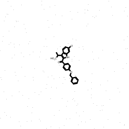 CC(C(=O)O)c1c(C(=O)c2ccc(OCc3ccccc3)cc2)[nH]c2cc(Cl)ccc12